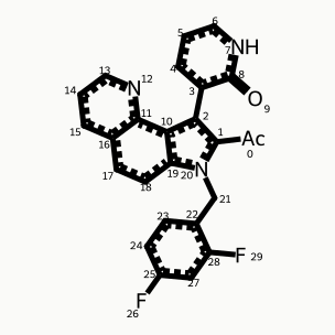 CC(=O)c1c(-c2ccc[nH]c2=O)c2c3ncccc3ccc2n1Cc1ccc(F)cc1F